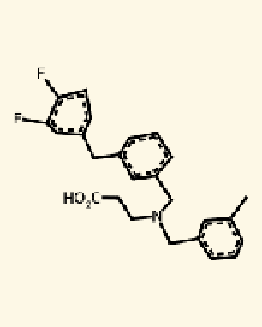 Cc1cccc(CN(CCC(=O)O)Cc2cccc(Cc3ccc(F)c(F)c3)c2)c1